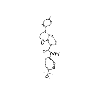 COC(C)(C)c1ccc(NC(=O)c2cccc3c2OCCN3c2ccc(C)cn2)cc1